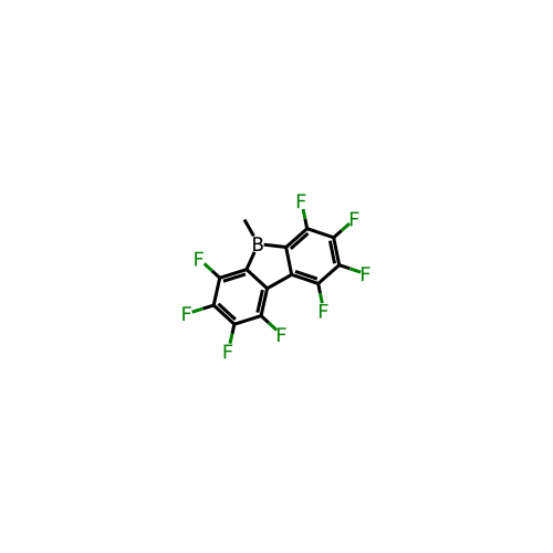 CB1c2c(F)c(F)c(F)c(F)c2-c2c(F)c(F)c(F)c(F)c21